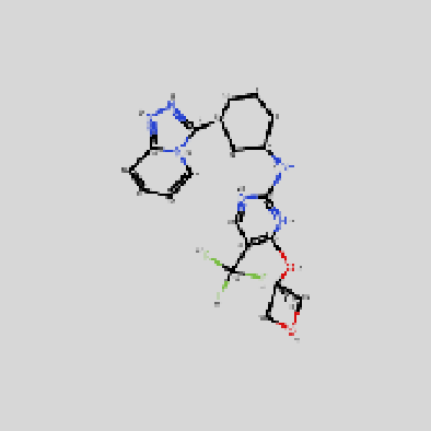 CC1(Oc2nc(N[C@@H]3CCC[C@H](c4nnc5ccccn45)C3)ncc2C(F)(F)F)COC1